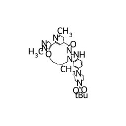 Cc1cc2cc(n1)-c1cnn(C)c1OCCC[C@@H](C)CN1/C(=N/C2=O)Nc2ccc(N3CCN(C(=O)OC(C)(C)C)CC3)cc21